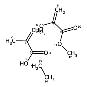 C=C(C)C(=O)O.C=C(C)C(=O)OC.[CH2]C